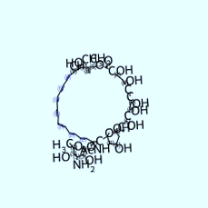 CC(=O)N[C@H]1C2C[C@@H](O[C@@H]3O[C@H](C)[C@@H](O)[C@H](N)[C@@H]3O)/C=C/C=C/C=C/C=C/C=C/C=C/C=C/[C@H](C)[C@@H](O)[C@@H](C)[C@H](C)OC(=O)C[C@H](O)C[C@H](O)CC[C@@H](O)[C@H](O)C[C@H](O)C[C@](O)(C[C@@H]1O)O2